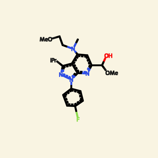 COCCN(C)c1cc(C(O)OC)nc2c1c(C(C)C)nn2-c1ccc(F)cc1